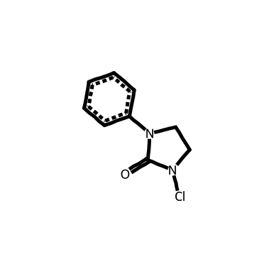 O=C1N(Cl)CCN1c1ccccc1